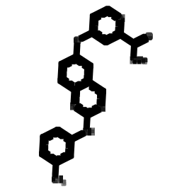 CNC(=O)c1cc(Oc2ccc3nc(Nc4cccc(C)c4)ncc3c2)ccn1